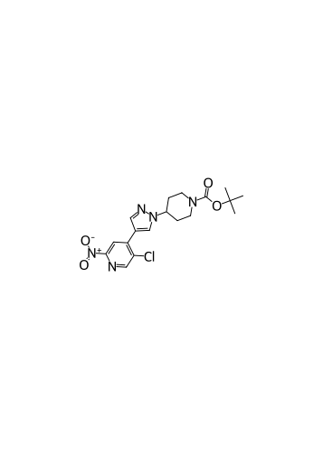 CC(C)(C)OC(=O)N1CCC(n2cc(-c3cc([N+](=O)[O-])ncc3Cl)cn2)CC1